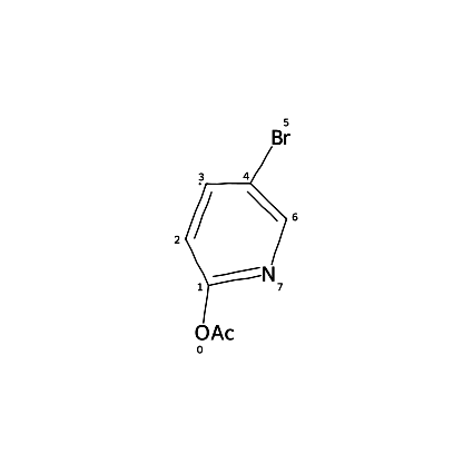 CC(=O)Oc1c[c]c(Br)cn1